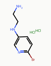 Cl.Cl.NCCNc1ccc(Br)nc1